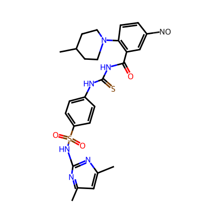 Cc1cc(C)nc(NS(=O)(=O)c2ccc(NC(=S)NC(=O)c3cc(N=O)ccc3N3CCC(C)CC3)cc2)n1